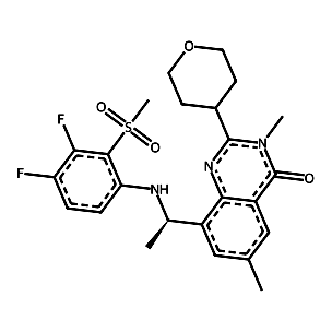 Cc1cc([C@@H](C)Nc2ccc(F)c(F)c2S(C)(=O)=O)c2nc(C3CCOCC3)n(C)c(=O)c2c1